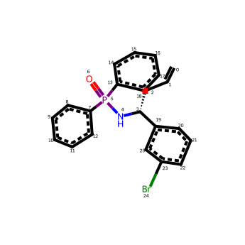 C=CC[C@@H](NP(=O)(c1ccccc1)c1ccccc1)c1cccc(Br)c1